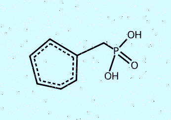 O=P(O)(O)[C]c1ccccc1